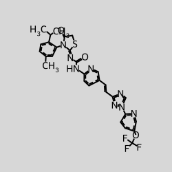 Cc1ccc(C(C)C)c(N2C(=O)CSC2=NC(=O)Nc2ccc(C=Cc3ncn(-c4ccc(OC(F)(F)F)cn4)n3)cn2)c1